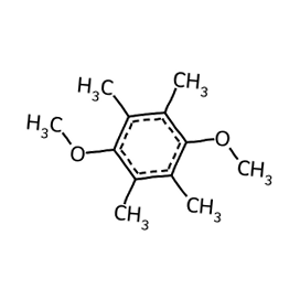 COc1c(C)c(C)c(OC)c(C)c1C